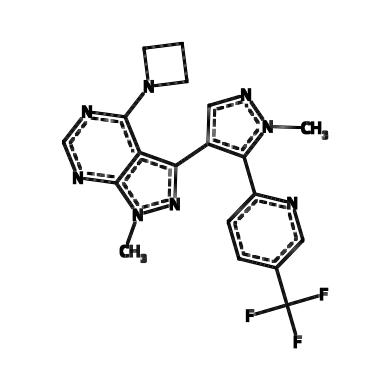 Cn1ncc(-c2nn(C)c3ncnc(N4CCC4)c23)c1-c1ccc(C(F)(F)F)cn1